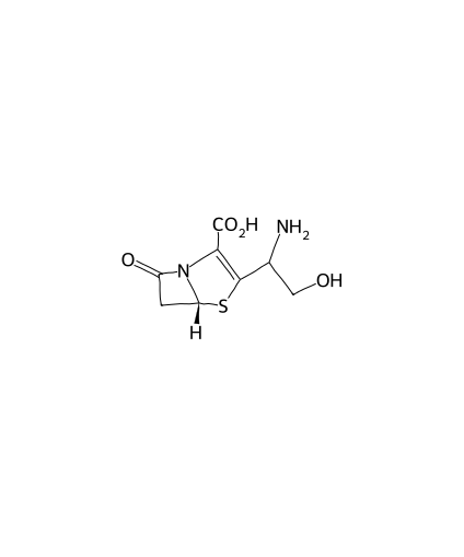 NC(CO)C1=C(C(=O)O)N2C(=O)C[C@H]2S1